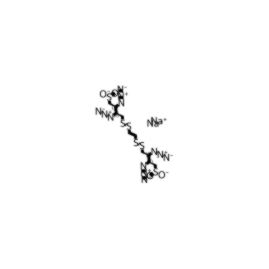 [N-]=[N+]=N[C@H](CSSCCSSC[C@@H](N=[N+]=[N-])[C@@H](CS(=O)[O-])N=[N+]=[N-])[C@@H](CS(=O)[O-])N=[N+]=[N-].[Na+].[Na+]